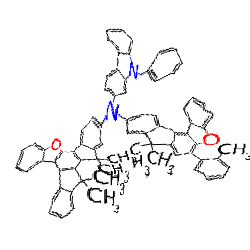 Cc1ccccc1-c1cc2c(c3c1oc1ccccc13)-c1ccc(N(c3ccc4c(c3)C(C)(C)c3c5c(c6c(oc7ccccc76)c3-4)-c3ccccc3C5(C)C)c3ccc4c5ccccc5n(-c5ccccc5)c4c3)cc1C2(C)C